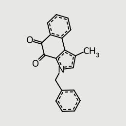 Cc1cn(Cc2ccccc2)c2c1-c1ccccc1C(=O)C2=O